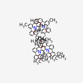 Cc1ccc2c(c1)B1c3cc(CCC(C)(C)c4cccc(-c5cccc(-c6cccc(C(C)(C)C)c6)c5N5c6ccccc6B6c7ccccc7N(c7c(-c8cccc(C(C)(C)C)c8)cccc7-c7cccc(C(C)(C)C)c7)c7cc(C)cc5c76)c4)ccc3N(c3c(-c4ccccc4)cc(C)cc3-c3ccccc3C)c3cc(C)cc(c31)N2c1c(-c2ccccc2)cc(C)cc1-c1ccccc1C